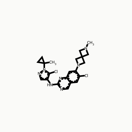 CN1CC2(C1)CN(c1cc3nc(Nc4cnn(C5(C)CC5)c4Cl)ncc3cc1Cl)C2